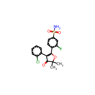 CC1(C)OC(c2ccc(S(N)(=O)=O)cc2F)=C(c2ccccc2Cl)C1=O